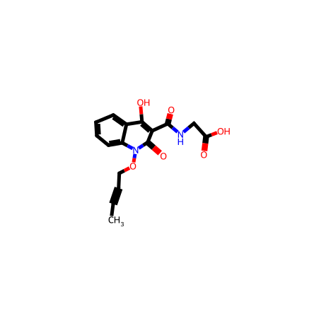 CC#CCOn1c(=O)c(C(=O)NCC(=O)O)c(O)c2ccccc21